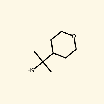 CC(C)(S)C1CCOCC1